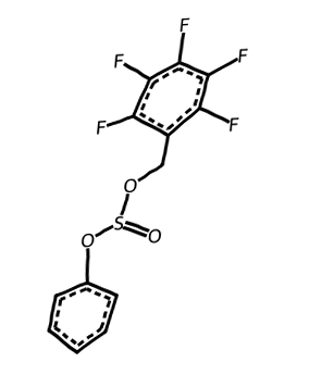 O=S(OCc1c(F)c(F)c(F)c(F)c1F)Oc1ccccc1